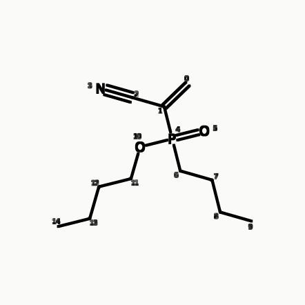 C=C(C#N)P(=O)(CCCC)OCCCC